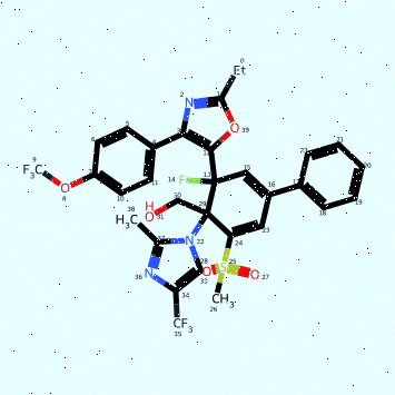 CCc1nc(-c2ccc(OC(F)(F)F)cc2)c(C2(F)C=C(c3ccccc3)C=C(S(C)(=O)=O)C2(CO)n2cc(C(F)(F)F)nc2C)o1